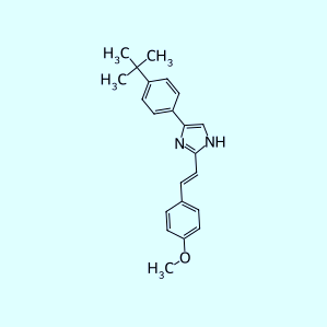 COc1ccc(/C=C/c2nc(-c3ccc(C(C)(C)C)cc3)c[nH]2)cc1